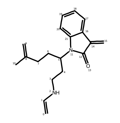 C=CNCCC(CCC(=C)C)N1C(=O)C(=C)c2ccccc21